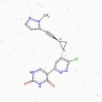 Cn1nccc1C#C[C@H]1C[C@@H]1c1cc(-c2c[nH]c(=O)[nH]c2=O)nnc1Cl